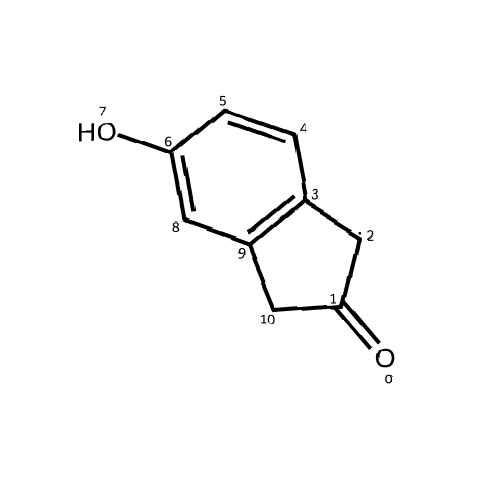 O=C1[CH]c2ccc(O)cc2C1